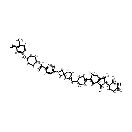 N#Cc1ccc(O[C@H]2CC[C@H](NC(=O)c3ccc(N4CC5(CCN(CC6CCN(c7cc8c(cc7F)C(=O)N(C7CCC(=O)NC7=O)C8=O)CC6)C5)C4)nn3)CC2)cc1Cl